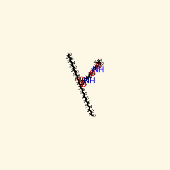 CCCCCCCCCCCCCCC(CCCCCCCCCCCCCC)OC(=O)NCCCOCNCOC(C)(C)C